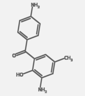 Cc1cc(N)c(O)c(C(=O)c2ccc(N)cc2)c1